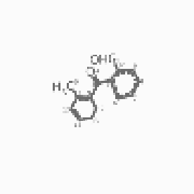 CC1=C(C(=O)c2ccccc2C=O)CCC=C1